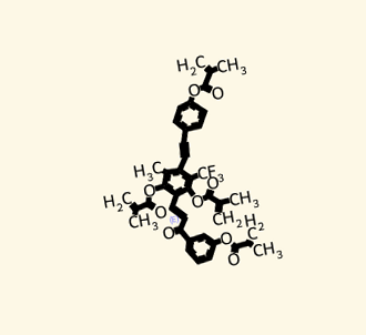 C=C(C)C(=O)Oc1ccc(C#Cc2c(C)c(OC(=O)C(=C)C)c(/C=C/C(=O)c3cccc(OC(=O)C(=C)C)c3)c(OC(=O)C(=C)C)c2C(F)(F)F)cc1